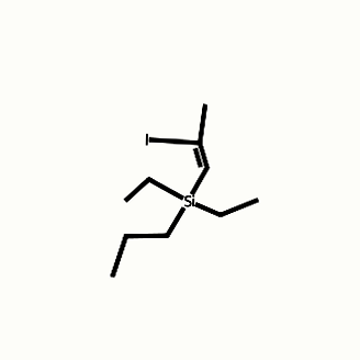 CCC[Si](C=C(C)I)(CC)CC